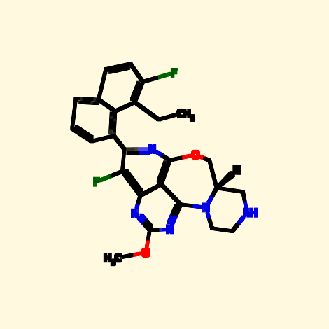 CCc1c(F)ccc2cccc(-c3nc4c5c(nc(OC)nc5c3F)N3CCNC[C@H]3CO4)c12